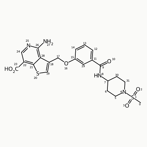 CS(=O)(=O)N1CCC(NC(=O)c2cccc(OCc3csc4c(C(=O)O)cnc(N)c34)c2)CC1